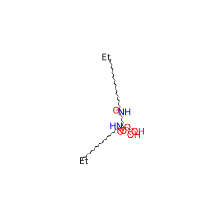 CCC=CCC=CCC=CCC=CCC=CCC=CCCC(=O)NCCCCC(NC(=O)CCCC=CCC=CCC=CCC=CCC=CCC)C(=O)OC(CO)CO